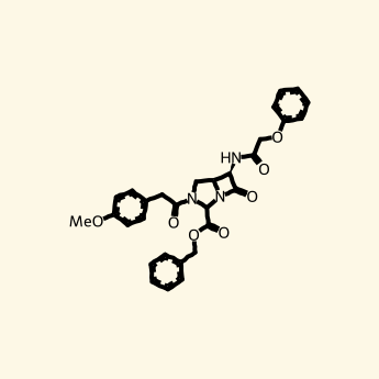 COc1ccc(CC(=O)N2CC3[C@@H](NC(=O)COc4ccccc4)C(=O)N3C2C(=O)OCc2ccccc2)cc1